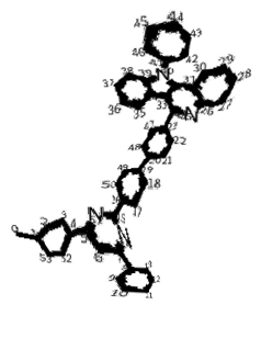 CC1C=CC(c2cc(-c3ccccc3)nc(-c3ccc(-c4ccc(-c5nc6ccccc6c6c5c5ccccc5n6-c5ccccc5)cc4)cc3)n2)=CC1